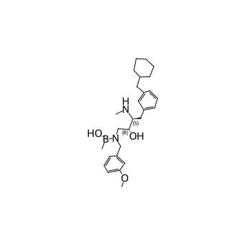 CN[C@@H](Cc1cccc(CC2CCCCC2)c1)[C@H](O)CN(Cc1cccc(OC)c1)B(C)O